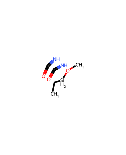 CC[SiH2]OC.N=C=O.N=C=O